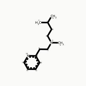 CC(C)CCN(C)CCc1ccccn1